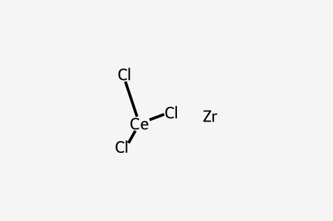 [Cl][Ce]([Cl])[Cl].[Zr]